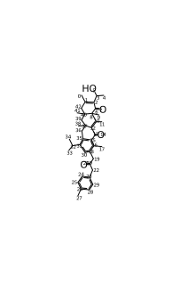 CC1=C(C(C)O)C(=O)C2(C)C(C)=C3C(=O)c4c(C)c(CC(=O)Cc5ccc(C)cc5)cc(C(C)C)c4CC3(C)CC2(C)C1